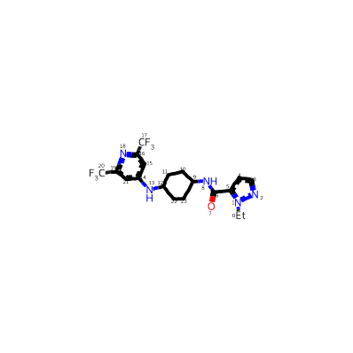 CCn1nccc1C(=O)NC1CCC(Nc2cc(C(F)(F)F)nc(C(F)(F)F)c2)CC1